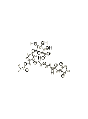 CC(C)C(=O)OCc1ccc(O[C@@H]2O[C@H](C(=O)O)[C@@H](O)[C@H](O)[C@H]2O)cc1OCCOCCNC(=O)CN1C(=O)C=CC1=O